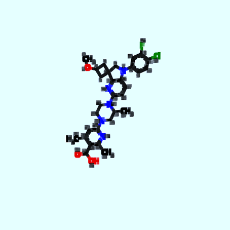 COC1CC2(C1)CN(c1ccc(Cl)c(F)c1)c1ccc(N3CCN(c4cc(C)c(C(=O)O)c(C)n4)CC3C)nc12